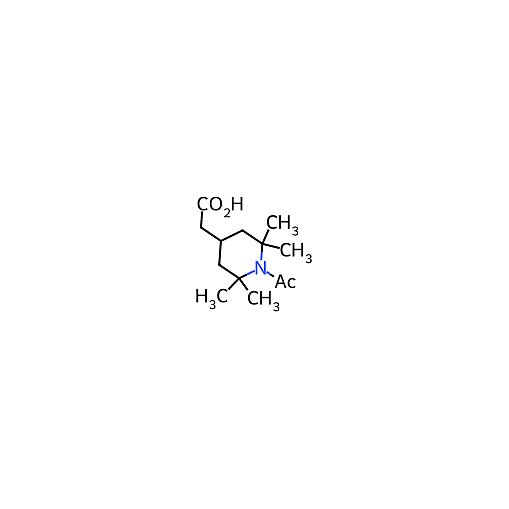 CC(=O)N1C(C)(C)CC(CC(=O)O)CC1(C)C